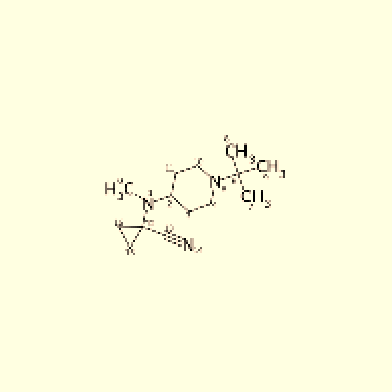 CN(C1CCN(C(C)(C)C)CC1)C1(C#N)CC1